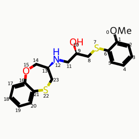 COc1ccccc1SC[C@H](O)CN[C@@H]1COc2ccccc2SC1